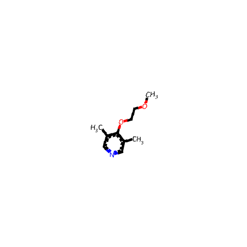 COCCOc1c(C)cncc1C